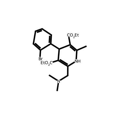 CCOC(=O)C1=C(C)NC(CN(C)C)=C(C(=O)OCC)C1c1ccccc1Br